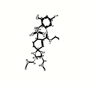 CCOC(=O)C1=CC2(CCC1S(=O)(=O)Nc1ccc(F)cc1Cl)O[C@@H](COC)[C@H](COC)O2